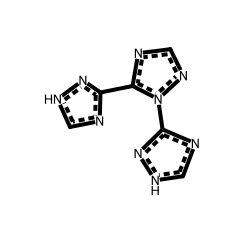 c1nc(-c2nc[nH]n2)n(-c2nc[nH]n2)n1